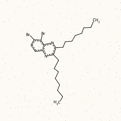 CCCCCCCCc1nc2ccc(Br)c(Br)c2nc1CCCCCCCC